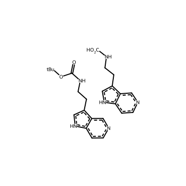 CC(C)(C)OC(=O)NCCc1c[nH]c2ccncc12.O=C(O)NCCc1c[nH]c2ccncc12